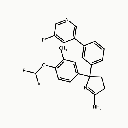 Cc1cc(C2(c3cccc(-c4cncc(F)c4)c3)CCC(N)=N2)ccc1OC(F)F